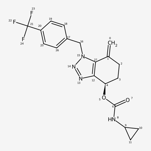 C=C1CC[C@@H](OC(=O)NC2CC2)c2nnn(Cc3ccc(C(F)(F)F)cc3)c21